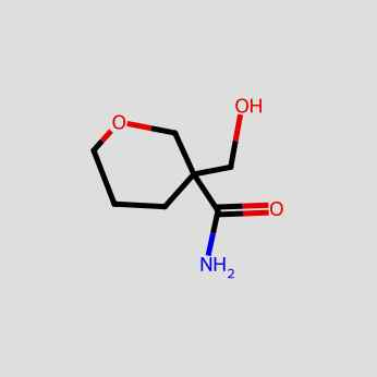 NC(=O)C1(CO)CCCOC1